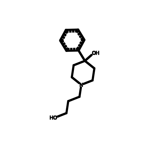 OCCCN1CCC(O)(c2ccccc2)CC1